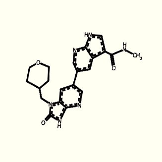 CNC(=O)c1c[nH]c2ncc(-c3cnc4[nH]c(=O)n(CC5CCOCC5)c4c3)cc12